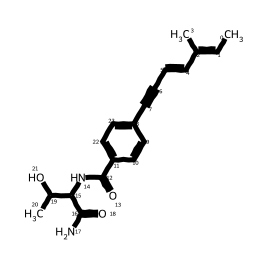 C/C=C(C)/C=C/C#Cc1ccc(C(=O)NC(C(N)=O)C(C)O)cc1